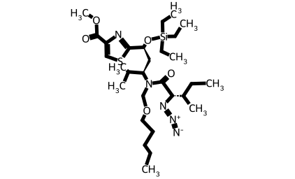 CCCCCOCN(C(=O)[C@@H](N=[N+]=[N-])C(C)CC)[C@H](C[C@H](O[Si](CC)(CC)CC)c1nc(C(=O)OC)cs1)C(C)C